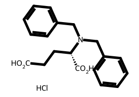 Cl.O=C(O)CC[C@@H](C(=O)O)N(Cc1ccccc1)Cc1ccccc1